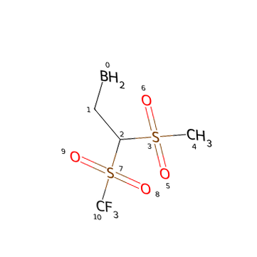 BCC(S(C)(=O)=O)S(=O)(=O)C(F)(F)F